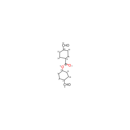 O=CC1CCC(OC(=O)C2CCC(C=O)CC2)CC1